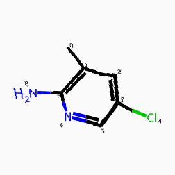 Cc1cc(Cl)cnc1N